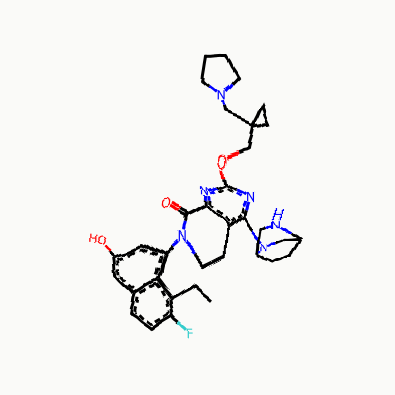 CCc1c(F)ccc2cc(O)cc(N3CCc4c(nc(OCC5(CN6CCCC6)CC5)nc4N4CC5CCC4CN5)C3=O)c12